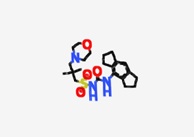 CC(C)(CN1CCOCC1)CS(=O)(=O)NC(=O)Nc1c2c(cc3c1CCC3)CCC2